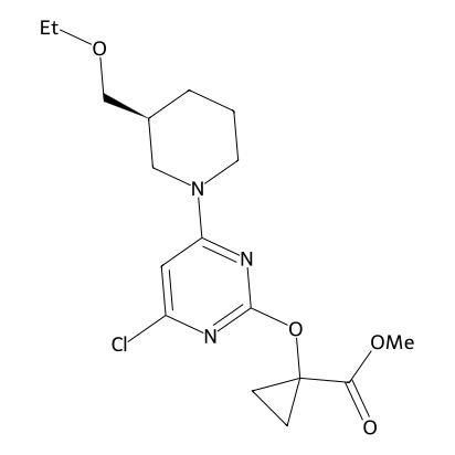 CCOC[C@H]1CCCN(c2cc(Cl)nc(OC3(C(=O)OC)CC3)n2)C1